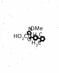 CON=C1C[C@@H](C(=O)O)N(C(=O)c2ccc(-c3c(C)cccc3C)cc2)C1